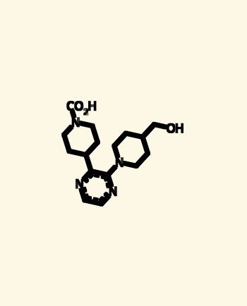 O=C(O)N1CCC(c2nccnc2N2CCC(CO)CC2)CC1